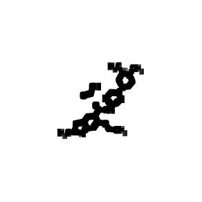 CCOc1cc2nn(C)cc2cc1C(=O)Nc1cnc(N2CCN(C)[C@@H](C)C2)cn1.O=CO